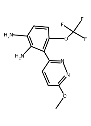 COc1ccc(-c2c(OC(F)(F)F)ccc(N)c2N)nn1